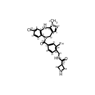 Cn1ncc2c1Nc1cc(Cl)ccc1N(C(=O)c1ccc(CNC(=O)C3CNC3)c(F)c1)C2